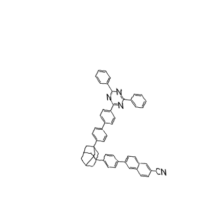 N#Cc1ccc2cc(-c3ccc(C45CC6CC(CC(c7ccc(-c8ccc(-c9nc(-c%10ccccc%10)nc(-c%10ccccc%10)n9)cc8)cc7)(C6)C4)C5)cc3)ccc2c1